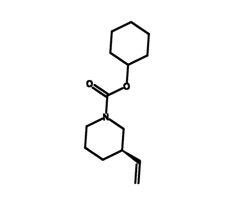 C=C[C@H]1CCCN(C(=O)OC2CCCCC2)C1